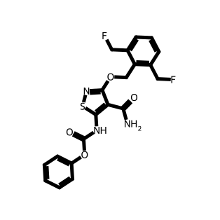 NC(=O)c1c(OCc2c(CF)cccc2CF)nsc1NC(=O)Oc1ccccc1